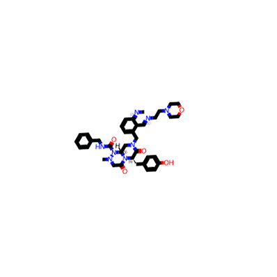 C/N=C1/C=CC=C(CN2C[C@H]3N(C(=O)CN(C)N3C(=O)NCc3ccccc3)[C@@H](Cc3ccc(O)cc3)C2=O)C1/C=N/CCN1CCOCC1